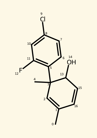 CC1=CC(C)(c2ccc(Cl)cc2F)C(O)C=C1